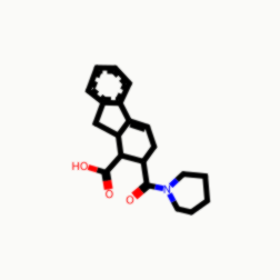 O=C(O)C1C(C(=O)N2CCCCC2)CC=C2c3ccccc3CC21